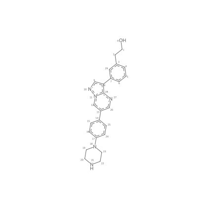 OCCc1cccc(-c2cnn3cc(-c4ccc(N5CCNCC5)cc4)cnc23)c1